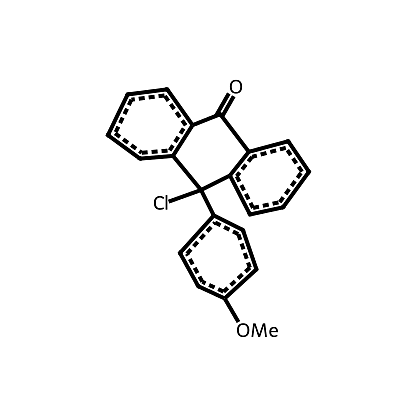 COc1ccc(C2(Cl)c3ccccc3C(=O)c3ccccc32)cc1